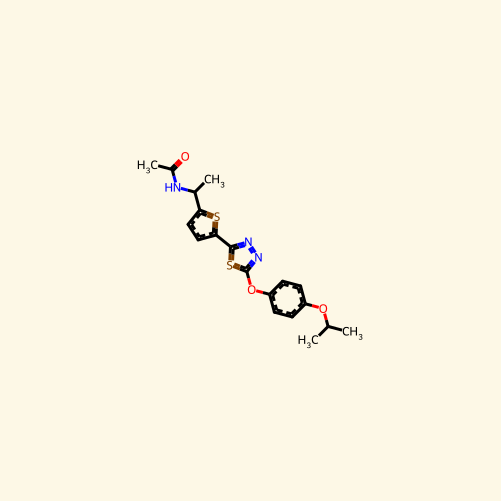 CC(=O)NC(C)c1ccc(-c2nnc(Oc3ccc(OC(C)C)cc3)s2)s1